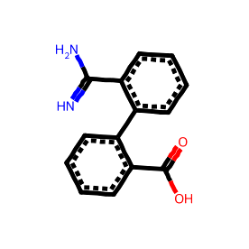 N=C(N)c1ccccc1-c1ccccc1C(=O)O